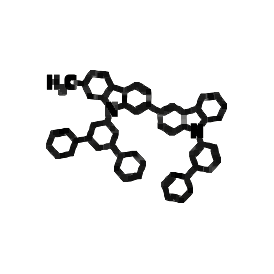 CC1C=CC2C3C=CC(C4=CC5C6C=CCCC6N(C6=CC(C7C=CC=CC7)CC=C6)C5C=C4)=CC3N(C3CC(C4C=CCCC4)CC(C4CC=CCC4)C3)C2C1